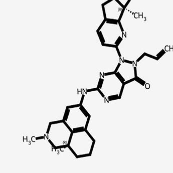 C=CCn1c(=O)c2cnc(Nc3cc4c5c(c3)CN(C)C[C@]5(C)CCC4)nc2n1-c1ccc2c(n1)[C@](C)(O)CC2